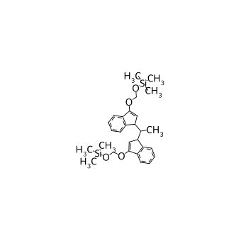 CC(C1C=C(OCO[Si](C)(C)C)c2ccccc21)C1C=C(OCO[Si](C)(C)C)c2ccccc21